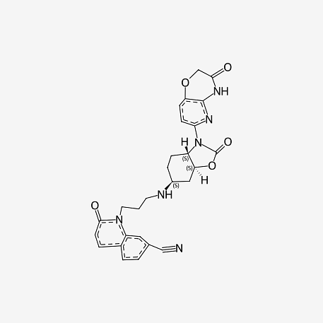 N#Cc1ccc2ccc(=O)n(CCCN[C@H]3CC[C@H]4[C@H](C3)OC(=O)N4c3ccc4c(n3)NC(=O)CO4)c2c1